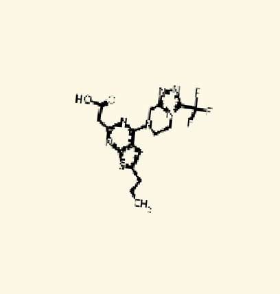 CCCc1cc2c(N3CCn4c(nnc4C(F)(F)F)C3)nc(CC(=O)O)nc2s1